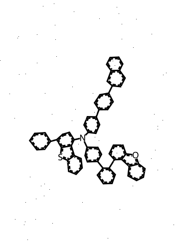 c1ccc(-c2ccc(N(c3ccc(-c4ccc(-c5ccc6ccccc6c5)cc4)cc3)c3ccc(-c4ccccc4-c4cccc5oc6ccccc6c45)cc3)c3c2sc2ccccc23)cc1